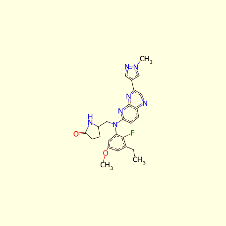 CCc1cc(OC)cc(N(CC2CCC(=O)N2)c2ccc3ncc(-c4cnn(C)c4)nc3n2)c1F